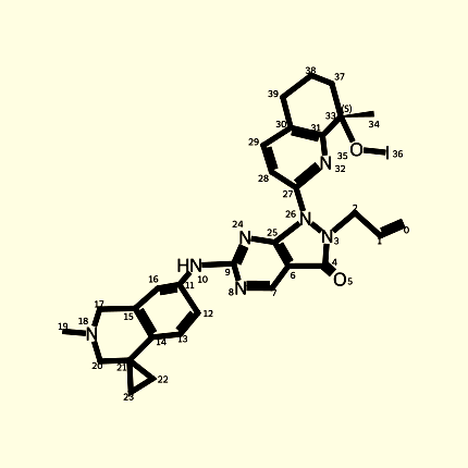 C=CCn1c(=O)c2cnc(Nc3ccc4c(c3)CN(C)CC43CC3)nc2n1-c1ccc2c(n1)[C@@](C)(OI)CCC2